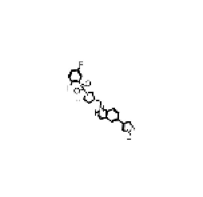 C[C@H]1C[C@H](Cn2ncc3cc(-c4cn[nH]c4)ccc32)CN1S(=O)(=O)c1cc(F)ccc1F